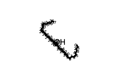 CCCCC/C=C\C/C=C\CCCCCCCCN(O)CCCCCCCC/C=C\C/C=C\CCCCC